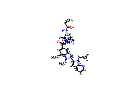 C=CC(=O)N[C@H]1C[C@@H]2CN(C(=O)c3cc(OC)c4c(c3)nc(-c3cc5cccnc5n3CC3CC3)n4C)[C@H]1[C@@H]2N